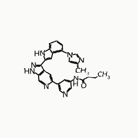 CCCC(=O)Nc1cncc(-c2cc3c(-c4cc5c(-n6cnc(C)c6)cccc5[nH]4)n[nH]c3cn2)c1